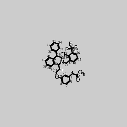 COC(=O)Cc1cccc(O[C@H](C)CCN(Cc2cccc(C(F)(F)F)c2Cl)CC(c2ccccc2)c2ccccc2)c1